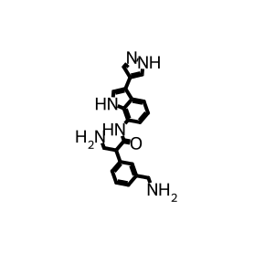 NCc1cccc(C(CN)C(=O)Nc2cccc3c(-c4cn[nH]c4)c[nH]c23)c1